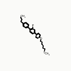 CCCCc1ccc(-c2ccc(-c3ccc(OCCCCCCOC)cc3)cc2F)cc1